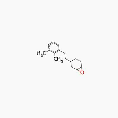 Cc1cccc(CCC2CCC3OC3C2)c1C